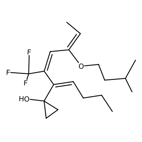 C\C=C(/C=C(\C(=C\CCC)C1(O)CC1)C(F)(F)F)OCCC(C)C